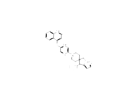 N[C@@H]1c2ccnn2CC12CCN(c1cnc(Sc3ccnc4ccccc34)cn1)CC2